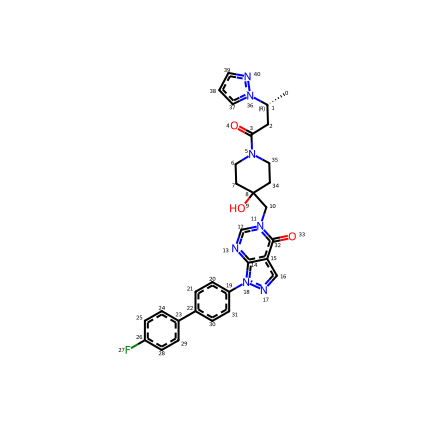 C[C@H](CC(=O)N1CCC(O)(Cn2cnc3c(cnn3-c3ccc(-c4ccc(F)cc4)cc3)c2=O)CC1)n1cccn1